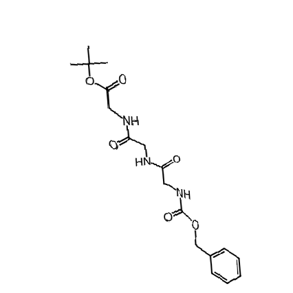 CC(C)(C)OC(=O)CNC(=O)CNC(=O)CNC(=O)OCc1ccccc1